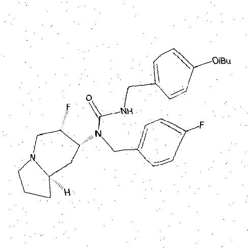 CC(C)COc1ccc(CNC(=O)N(Cc2ccc(F)cc2)[C@@H]2C[C@H]3CCCN3C[C@@H]2F)cc1